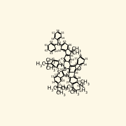 CC(C)(C)c1ccc(N2B3c4sc5ccc(C(C)(C)C)cc5c4-n4c5cc6c(cc5c5c7oc8ccccc8c7c(c3c54)-c3cc4c(cc32)-c2cc(N(c3ccccc3)c3ccccc3)ccc2C4(C)C)C(C)(C)CCC6(C)C)cc1